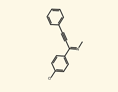 CN=C(C#Cc1ccccc1)c1ccc(Cl)cc1